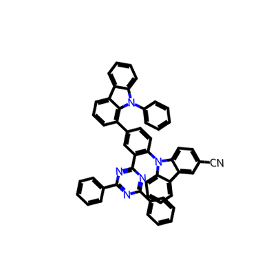 N#Cc1ccc2c(c1)c1ccccc1n2-c1ccc(-c2cccc3c4ccccc4n(-c4ccccc4)c23)cc1-c1nc(-c2ccccc2)nc(-c2ccccc2)n1